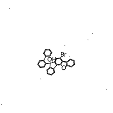 OC1(c2ccccc2-c2ccccc2)c2ccccc2-c2c1cc(Br)c1c2oc2ccccc21